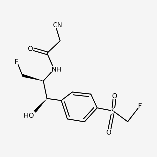 N#CCC(=O)N[C@H](CF)[C@H](O)c1ccc(S(=O)(=O)CF)cc1